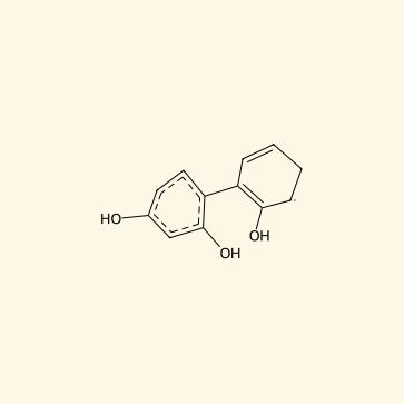 OC1=C(c2ccc(O)cc2O)C=CC[CH]1